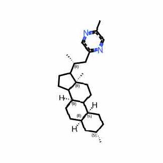 Cc1cnc(C[C@@H](C)C2CCC3[C@@H]4CC[C@@H]5C[C@@H](C)CC[C@@H]5C4CC[C@@]32C)cn1